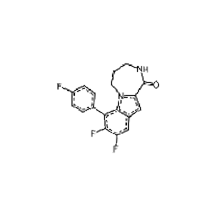 O=C1NCCCn2c1cc1cc(F)c(F)c(-c3ccc(F)cc3)c12